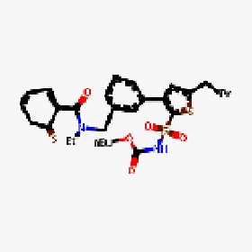 CCCCOC(=O)NS(=O)(=O)c1sc(CC(C)C)cc1-c1cccc(CN(CC)C(=O)C2=CC=CCC2=S)c1